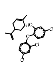 C=C(C)C1CC=C(C)CC1.Oc1cc(Cl)ccc1Oc1ccc(Cl)cc1Cl